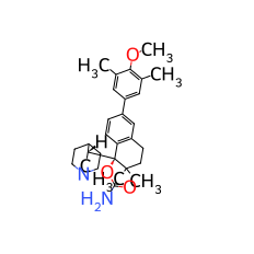 COc1c(C)cc(-c2ccc3c(c2)CCC(C)(C)[C@]3(OC(N)=O)[C@@H]2CN3CCC2CC3)cc1C